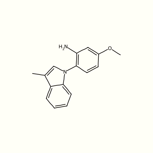 COc1ccc(-n2cc(C)c3ccccc32)c(N)c1